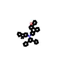 CC1(C)c2ccccc2-c2ccc(N(c3cc(-c4ccccc4)cc(-c4ccccc4)c3)c3ccc4c5ccccc5c5c(ccc6oc7ccccc7c65)c4c3)cc21